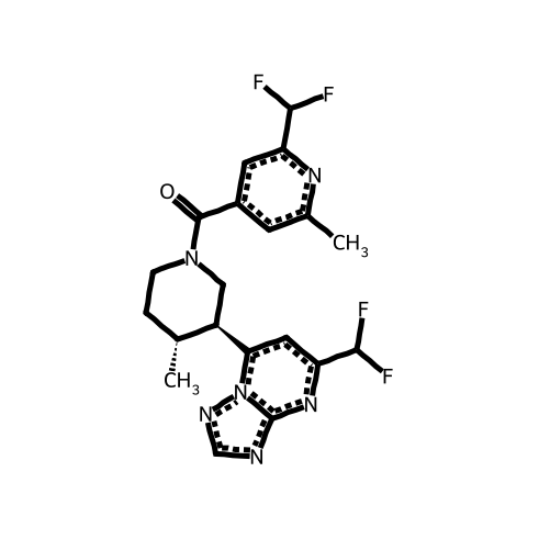 Cc1cc(C(=O)N2CC[C@@H](C)[C@H](c3cc(C(F)F)nc4ncnn34)C2)cc(C(F)F)n1